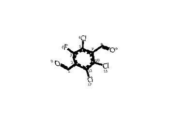 O=Cc1c(F)c(Cl)c(C=O)c(Cl)c1Cl